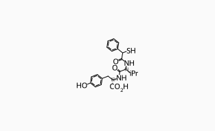 CC(C)[C@H](NC(=O)C(S)c1ccccc1)C(=O)N[C@@H](Cc1ccc(O)cc1)C(=O)O